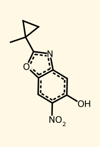 CC1(c2nc3cc(O)c([N+](=O)[O-])cc3o2)CC1